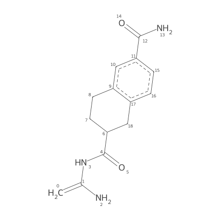 C=C(N)NC(=O)C1CCc2cc(C(N)=O)ccc2C1